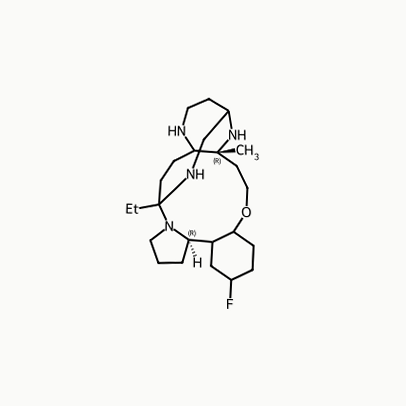 CCC12CCC3NCCC(CN1)N[C@]3(C)CCOC1CCC(F)CC1[C@H]1CCCN12